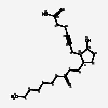 CCCCCCCC(=O)C=CC1CCC(O)C1CC#CCCC(=O)O